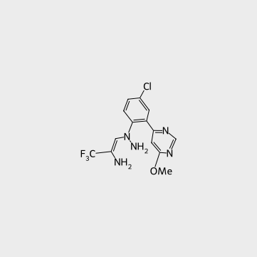 COc1cc(-c2cc(Cl)ccc2N(N)/C=C(\N)C(F)(F)F)ncn1